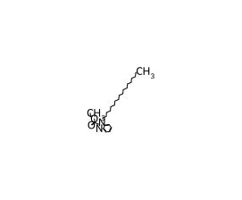 CCCCCCCCCCCCCCCCCCn1c(C(=O)OCC)nc2ccccc21